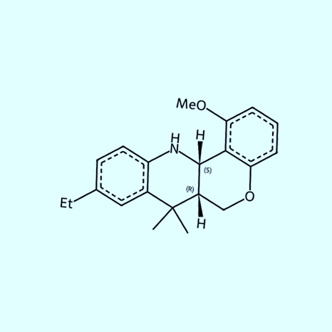 [CH2]Cc1ccc2c(c1)C(C)(C)[C@H]1COc3cccc(OC)c3[C@H]1N2